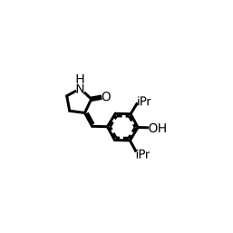 CC(C)c1cc(C=C2CCNC2=O)cc(C(C)C)c1O